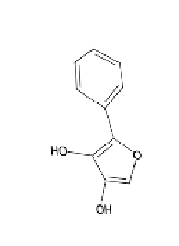 Oc1coc(-c2ccccc2)c1O